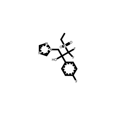 CCS(=O)(=O)C(F)(F)C(O)(Cn1cncn1)c1ccc(F)cc1